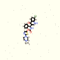 CN1CCN(c2ncc(OC(=O)NC(c3ccccc3)c3c[nH]c4cc(Cl)ccc4c3=O)s2)CC1